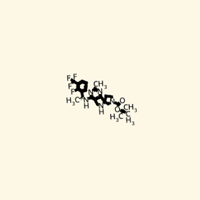 Cc1nc(N[C@H](C)c2cccc(C(F)(F)F)c2F)c2c(n1)C1(CCN(C(=O)OC(C)(C)C)C1)NC2